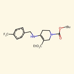 CCOC(=O)C1=C(NCc2ccc(C(F)(F)F)cc2)CCN(C(=O)OC(C)(C)C)C1